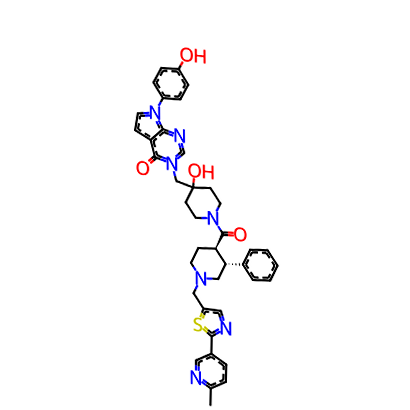 Cc1ccc(-c2ncc(CN3CC[C@@H](C(=O)N4CCC(O)(Cn5cnc6c(ccn6-c6ccc(O)cc6)c5=O)CC4)[C@H](c4ccccc4)C3)s2)cn1